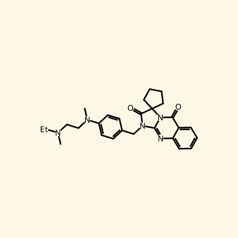 CCN(C)CCN(C)c1ccc(CN2C(=O)C3(CCCC3)n3c2nc2ccccc2c3=O)cc1